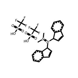 C[Si](C)=[Zr]([CH]1C=Cc2ccccc21)[CH]1C=Cc2ccccc21.O=S(=O)(O)C(F)(F)F.O=S(=O)(O)C(F)(F)F